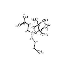 CC(O)(O)C(C)(O)O.CCCCCCCC(=O)O